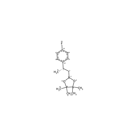 C[C@@H](CB1OC(C)(C)C(C)(C)O1)c1ccc(F)cc1